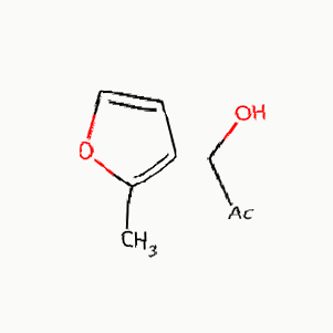 CC(=O)CO.Cc1ccco1